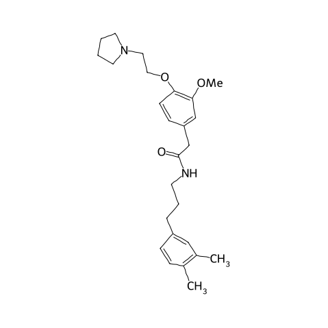 COc1cc(CC(=O)NCCCc2ccc(C)c(C)c2)ccc1OCCN1CCCC1